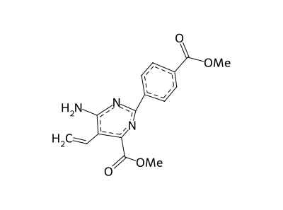 C=Cc1c(N)nc(-c2ccc(C(=O)OC)cc2)nc1C(=O)OC